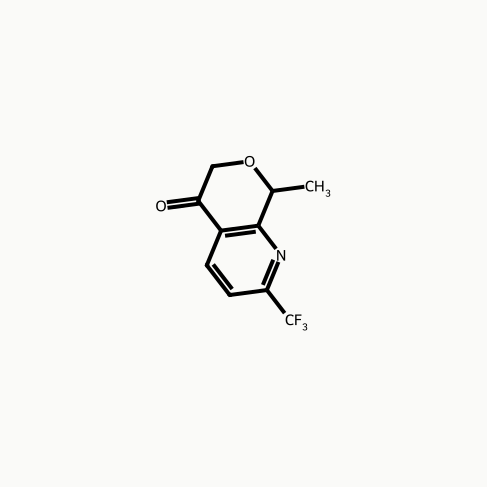 CC1OCC(=O)c2ccc(C(F)(F)F)nc21